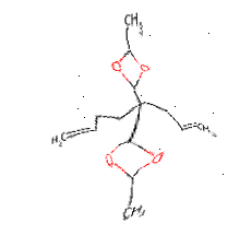 C=CCC(CC=C)(C1OC(C)O1)C1OC(C)O1